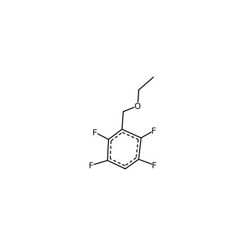 CCOCc1c(F)c(F)cc(F)c1F